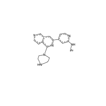 CC(C)Nc1cc(-c2cc3cnccc3c(N3CCNCC3)n2)ccn1